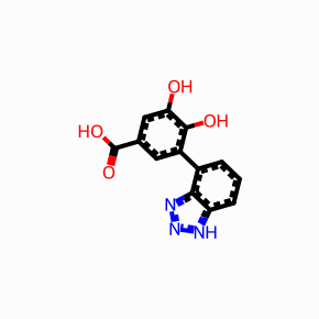 O=C(O)c1cc(O)c(O)c(-c2cccc3[nH]nnc23)c1